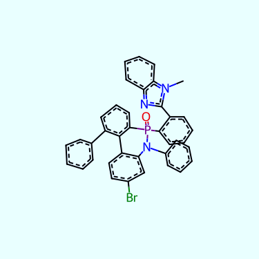 Cn1c(-c2ccccc2P2(=O)c3cccc(-c4ccccc4)c3-c3ccc(Br)cc3N2c2ccccc2)nc2ccccc21